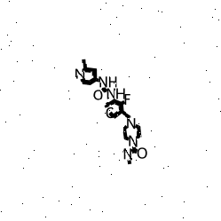 Cc1cc(NC(=O)Nc2cccc(CN3CCN(C(=O)N(C)C)CC3)c2F)ccn1